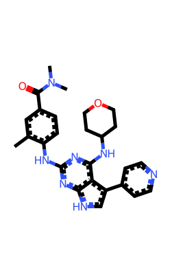 Cc1cc(C(=O)N(C)C)ccc1Nc1nc(NC2CCOCC2)c2c(-c3ccncc3)c[nH]c2n1